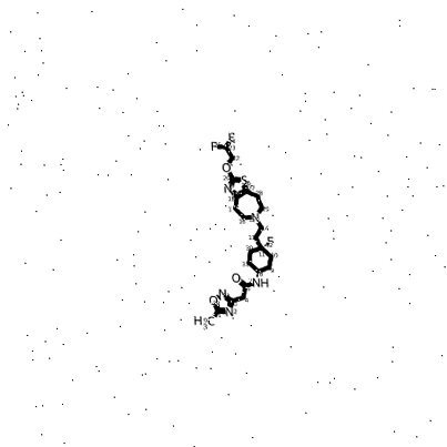 Cc1nc(CC(=O)N[C@H]2CC[C@](F)(CCN3CCc4nc(OCC(F)F)sc4CC3)CC2)no1